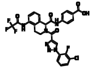 O=C(O)c1ccc(NC(=O)C2c3cccc(NC(=O)C(F)(F)F)c3CCN2C(=O)c2cn(-c3cccc(Cl)c3F)nn2)cc1